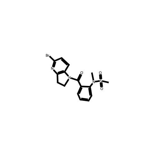 CN(c1ccccc1C(=O)N1CCc2nc(Br)ccc21)S(C)(=O)=O